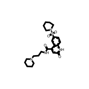 O=C(NCCCN1CCCCC1)c1cc(=O)[nH]c2ccc(S(=O)(=O)N3CCCCC3)cc12